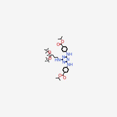 CC(C)OC(=O)c1ccc(Nc2nc(NCCC[Si](C)(O[Si](C)(C)C)O[Si](C)(C)C)nc(Nc3ccc(C(=O)OC(C)C)cc3)n2)cc1